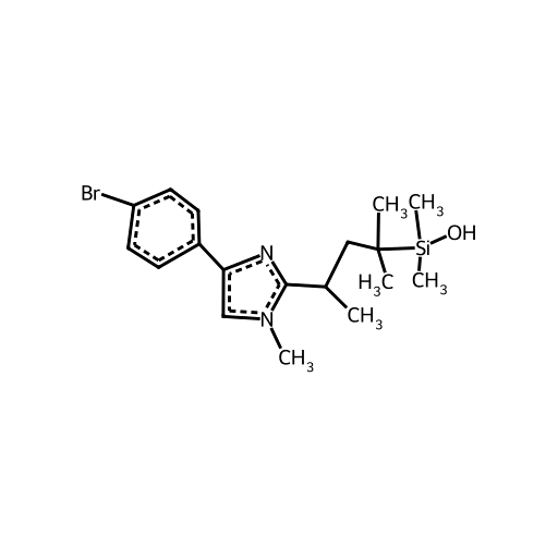 CC(CC(C)(C)[Si](C)(C)O)c1nc(-c2ccc(Br)cc2)cn1C